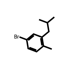 Cc1ccc(Br)cc1CC(C)C